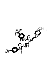 CN1CCN(CCCN(CCNC(=O)Nc2ccc(Br)cc2)C(=O)Nc2ccc(C(F)(F)F)cc2)CC1